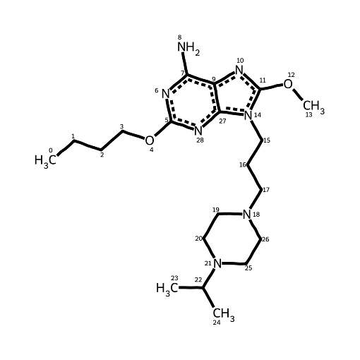 CCCCOc1nc(N)c2nc(OC)n(CCCN3CCN(C(C)C)CC3)c2n1